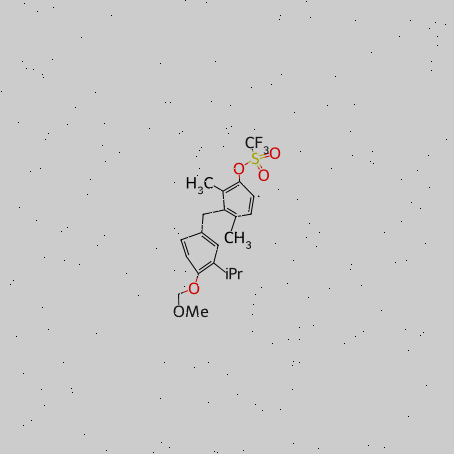 COCOc1ccc(Cc2c(C)c[c]c(OS(=O)(=O)C(F)(F)F)c2C)cc1C(C)C